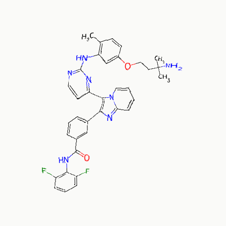 Cc1ccc(OCCC(C)(C)N)cc1Nc1nccc(-c2c(-c3cccc(C(=O)Nc4c(F)cccc4F)c3)nc3ccccn23)n1